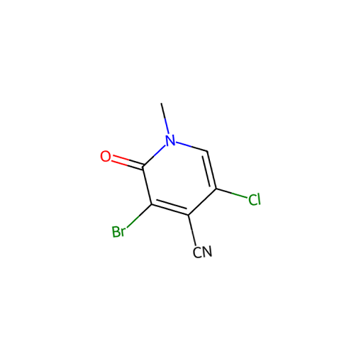 Cn1cc(Cl)c(C#N)c(Br)c1=O